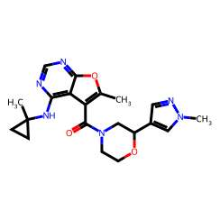 Cc1oc2ncnc(NC3(C)CC3)c2c1C(=O)N1CCOC(c2cnn(C)c2)C1